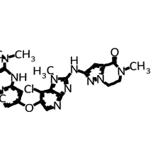 CN(C)C(=O)Nc1cc(Oc2cnc3nc(Nc4cc5n(n4)CCN(C)C5=O)n(C)c3c2Cl)ccn1